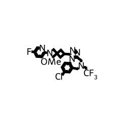 COc1cc(F)cnc1N1CC2(CC(c3nnc4n3-c3ccc(Cl)cc3CN(CC(F)(F)F)C4)C2)C1